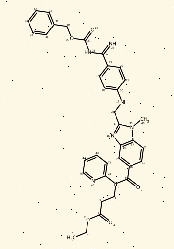 CCOC(=O)CCN(C(=O)c1ccc2c(c1)nc(CNc1ccc(C(=N)NC(=O)OCc3ccccc3)cc1)n2C)c1ccccn1